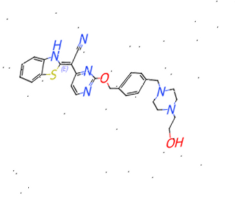 N#C/C(=C1\Nc2ccccc2S1)c1ccnc(OCc2ccc(CN3CCN(CCO)CC3)cc2)n1